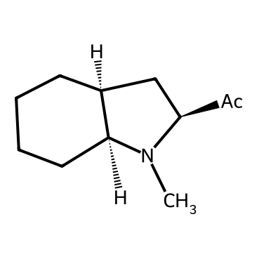 CC(=O)[C@@H]1C[C@@H]2CCCC[C@@H]2N1C